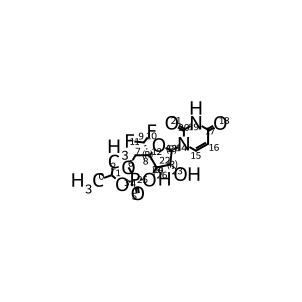 CC(C)OP1(=O)OC[C@@]2(C(F)F)O[C@@H](n3ccc(=O)[nH]c3=O)[C@H](O)[C@H]2O1